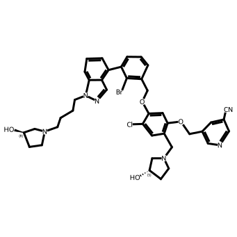 N#Cc1cncc(COc2cc(OCc3cccc(-c4cccc5c4cnn5CCCCN4CC[C@@H](O)C4)c3Br)c(Cl)cc2CN2CC[C@H](O)C2)c1